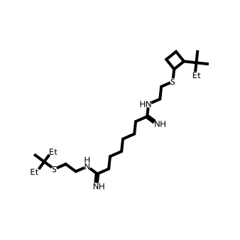 CCC(C)(CC)SCCNC(=N)CCCCCCC(=N)NCCSC1CCC1C(C)(C)CC